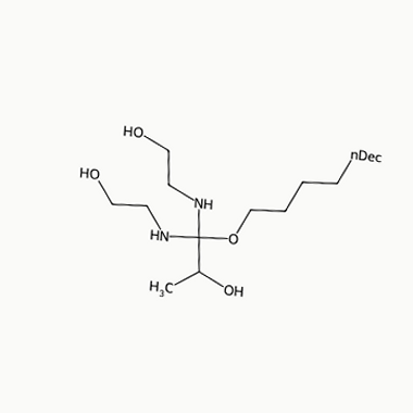 CCCCCCCCCCCCCCOC(NCCO)(NCCO)C(C)O